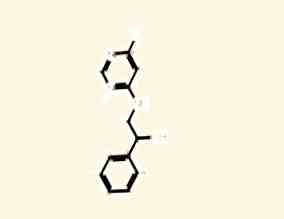 OC(CNc1cc(Cl)ncn1)c1ccccc1